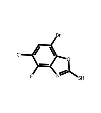 Fc1c(Cl)cc(Br)c2oc(S)nc12